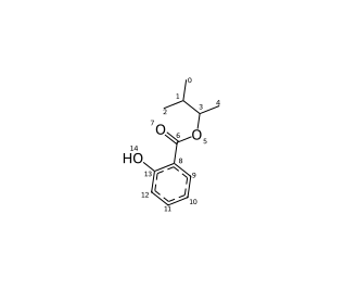 CC(C)C(C)OC(=O)c1ccccc1O